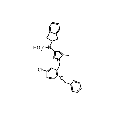 Cc1cc(N(C(=O)O)C2Cc3ccccc3C2)nn1Cc1cc(Cl)ccc1OCc1ccccc1